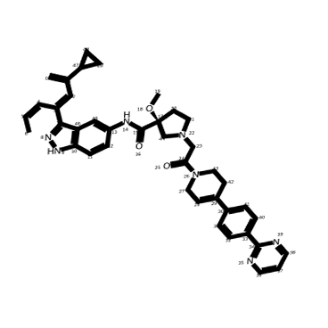 C=C(/C=C(\C=C/C)c1n[nH]c2ccc(NC(=O)[C@]3(OC)CCN(CC(=O)N4CC=C(c5ccc(-c6ncccn6)cc5)CC4)C3)cc12)C1CC1